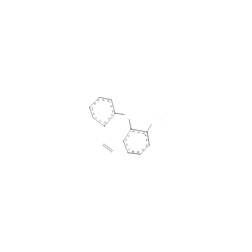 C=C.Oc1ccccc1Oc1ccccc1